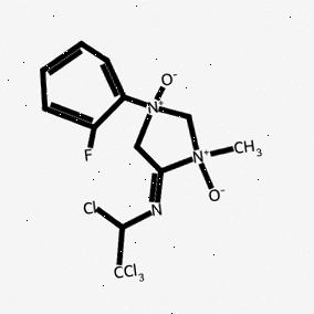 C[N+]1([O-])C[N+]([O-])(c2ccccc2F)CC1=NC(Cl)C(Cl)(Cl)Cl